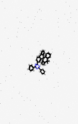 CC1(C)c2ccccc2C2(c3ccccc3-c3ccc(-c4nc(-c5ccccc5)nc(-c5ccccc5)n4)cc32)c2ccccc21